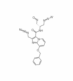 [N-]=[N+]=NCc1nc2c(OCc3ccccc3)cccn2c1C(=O)N[C@H](CN=O)CN=[N+]=[N-]